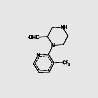 O=[C]C1CNCCN1c1ncccc1C(F)(F)F